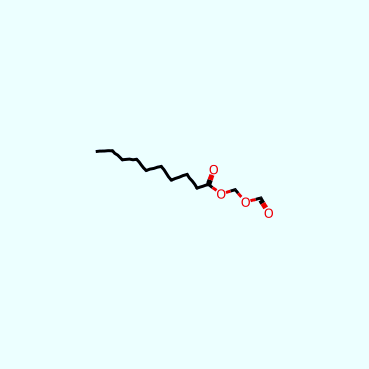 CCCCCCCCCC(=O)OCOC=O